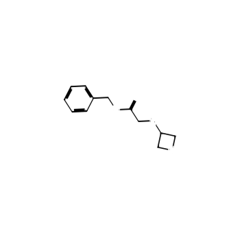 O=C(CNC1COC1)OCc1ccccc1